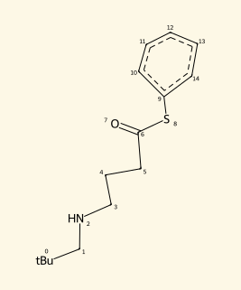 CC(C)(C)CNCCCC(=O)Sc1ccccc1